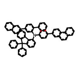 c1ccc(-c2ccc(-c3ccc4ccccc4c3)cc2N(c2ccc(-c3ccc4c(ccc5ccccc54)c3)cc2)c2cccc3c2-c2ccccc2C3(c2ccccc2)c2ccccc2)cc1